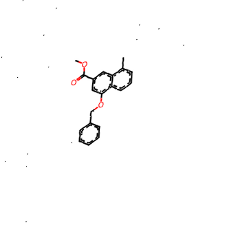 COC(=O)c1cc(OCc2ccccc2)c2cccc(C)c2c1